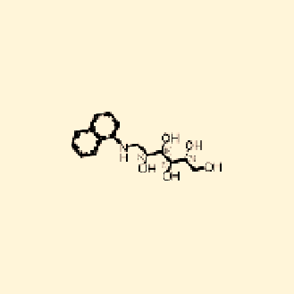 OC[C@@H](O)[C@@H](O)[C@H](O)[C@@H](O)CNc1cccc2ccccc12